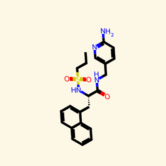 CCCS(=O)(=O)N[C@@H](Cc1cccc2ccccc12)C(=O)NCc1ccc(N)nc1